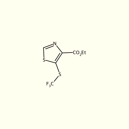 CCOC(=O)c1ncsc1SC(F)(F)F